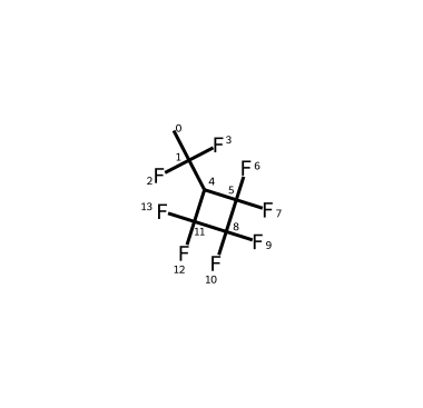 CC(F)(F)C1C(F)(F)C(F)(F)C1(F)F